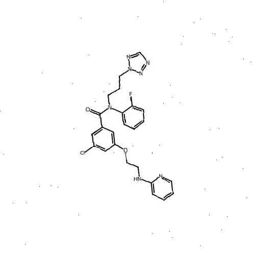 O=C(c1cc(Cl)cc(OCCNc2ccccn2)c1)N(CCCn1ncnn1)c1ccccc1F